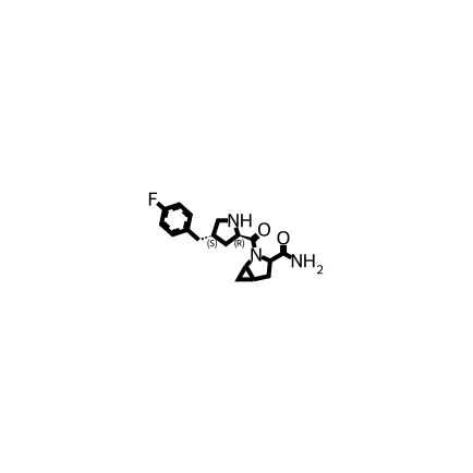 NC(=O)C1CC2CC2N1C(=O)[C@H]1C[C@H](Cc2ccc(F)cc2)CN1